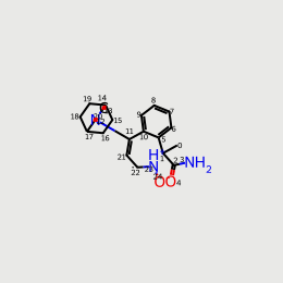 CC1(C(N)=O)c2ccccc2C(N2CC3CCC(CC3)C2)=C[CH][NH+]1[O-]